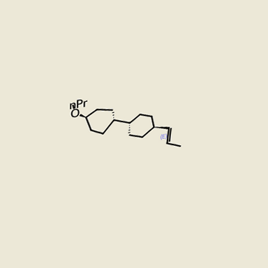 C/C=C/[C@H]1CC[C@H]([C@H]2CC[C@H](OCCC)CC2)CC1